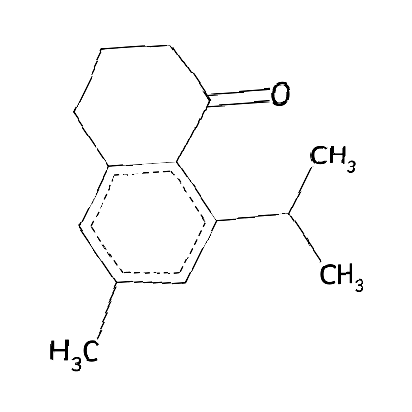 Cc1cc2c(c(C(C)C)c1)C(=O)CCC2